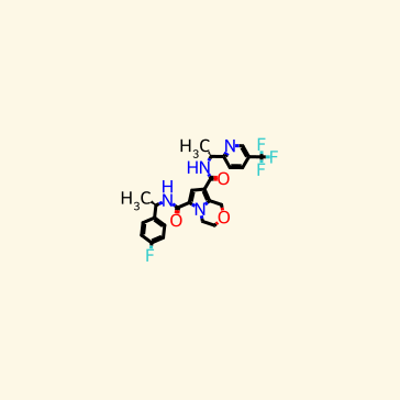 C[C@@H](NC(=O)c1cc(C(=O)N[C@H](C)c2ccc(C(F)(F)F)cn2)c2n1CCOC2)c1ccc(F)cc1